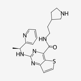 C[C@H](Nc1nc(C(=O)NCCC2CCNC2)c2sccc2n1)c1ccccn1